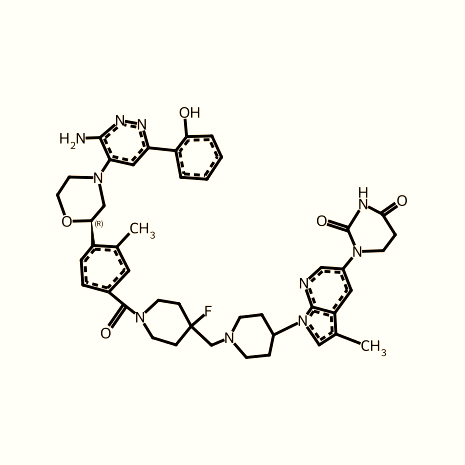 Cc1cc(C(=O)N2CCC(F)(CN3CCC(n4cc(C)c5cc(N6CCC(=O)NC6=O)cnc54)CC3)CC2)ccc1[C@@H]1CN(c2cc(-c3ccccc3O)nnc2N)CCO1